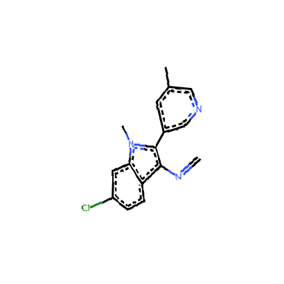 C=Nc1c(-c2cncc(C)c2)n(C)c2cc(Cl)ccc12